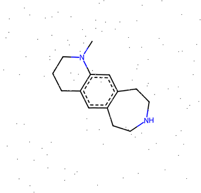 CN1CCCc2cc3c(cc21)CCNCC3